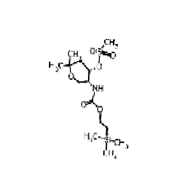 CC1(C)C[C@H](OS(C)(=O)=O)[C@H](NC(=O)OCC[Si](C)(C)C)CO1